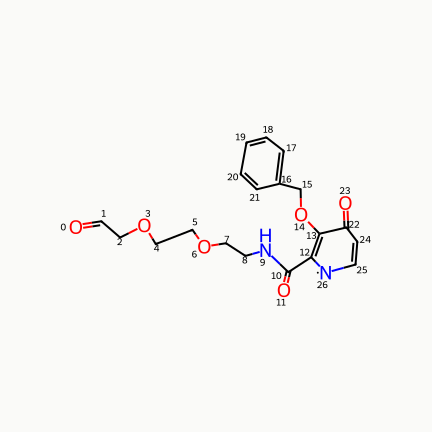 O=CCOCCOCCNC(=O)C1=C(OCc2ccccc2)C(=O)C=C[N]1